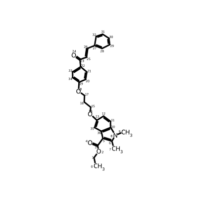 CCOC(=O)c1c(C)n(C)c2ccc(OCCCOc3ccc(C(=O)C=Cc4ccccc4)cc3)cc12